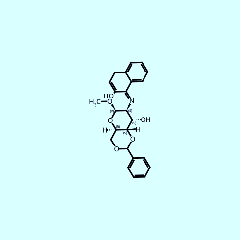 CO[C@@H]1O[C@@H]2COC(c3ccccc3)O[C@H]2[C@@H](O)[C@@H]1N=C1C(O)=CCc2ccccc21